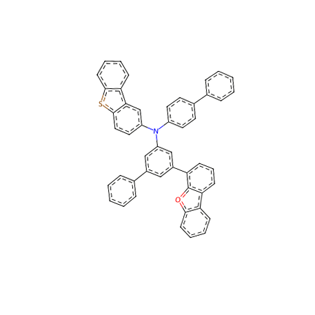 c1ccc(-c2ccc(N(c3cc(-c4ccccc4)cc(-c4cccc5c4oc4ccccc45)c3)c3ccc4sc5ccccc5c4c3)cc2)cc1